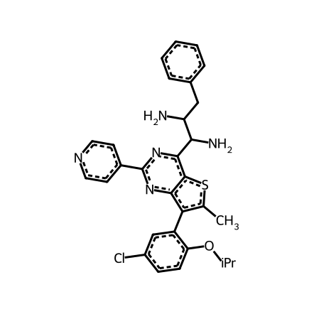 Cc1sc2c(C(N)C(N)Cc3ccccc3)nc(-c3ccncc3)nc2c1-c1cc(Cl)ccc1OC(C)C